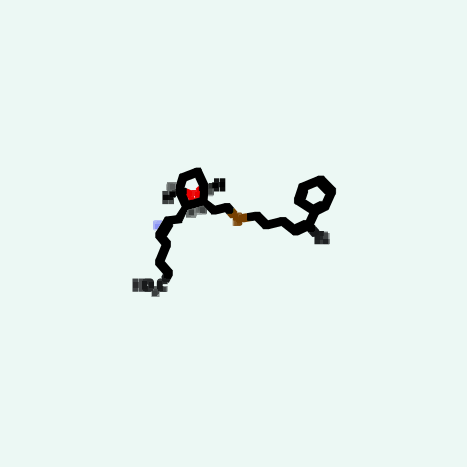 CCC(=CCCCSCC[C@H]1[C@@H](C/C=C\CCCC(=O)O)[C@H]2CC[C@@H]1O2)c1ccccc1